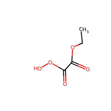 CCOC(=O)C(=O)OO